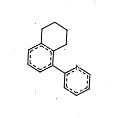 c1ccc(-c2cccc3c2CCCC3)nc1